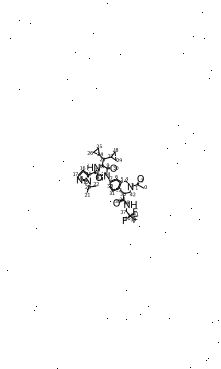 CC(=O)N1Cc2cc(NC(=O)[C@@H](NC(=O)c3ccnn3C(C)C)C(C3CC3)C3CC3)ccc2C(C(=O)NCC(F)(F)F)C1